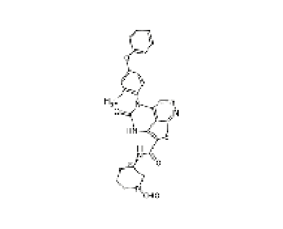 Cc1cc(Oc2ccccc2)ccc1N1C(=O)Nc2c(C(=O)N[C@@H]3CCCN(C=O)C3)sc3nccc1c23